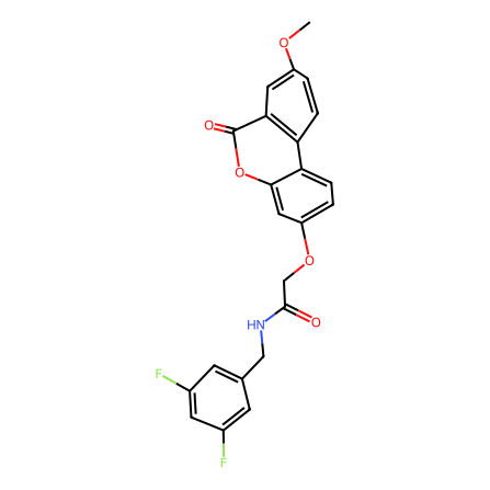 COc1ccc2c(c1)c(=O)oc1cc(OCC(=O)NCc3cc(F)cc(F)c3)ccc12